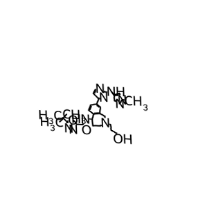 Cn1cc(Nc2nccc(-c3ccc4c(c3)CN(CCCO)CC[C@H]4NC(=O)c3nnc(C(C)(C)C)o3)n2)cn1